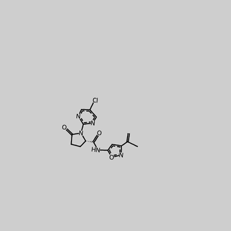 C=C(C)c1cc(NC(=O)[C@@H]2CCC(=O)N2c2ncc(Cl)cn2)on1